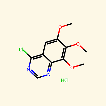 COc1cc2c(Cl)ncnc2c(OC)c1OC.Cl